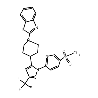 CS(=O)(=O)c1ccc(-n2nc(C(F)(F)F)cc2C2CCN(c3nc4ccccc4s3)CC2)nc1